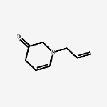 C=CCN1C=CCC(=O)C1